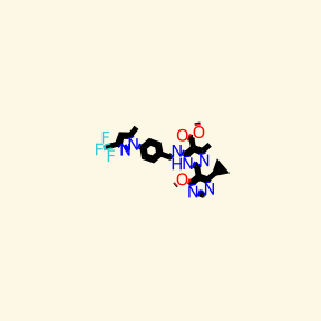 COC(=O)c1c(C)nc(-c2c(OC)ncnc2C2CC2)nc1NCc1ccc(-n2nc(C(F)(F)F)cc2C)cc1